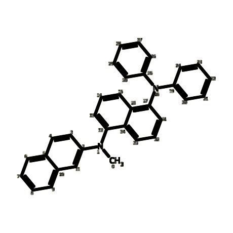 CN(c1ccc2ccccc2c1)c1cccc2c(N(c3ccccc3)c3ccccc3)cccc12